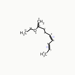 C=C(CC/C=C\C=C\C)OCC